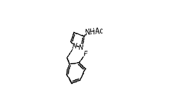 CC(=O)Nc1ccn(Cc2ccccc2F)n1